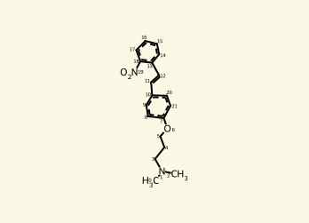 CN(C)CCCOc1ccc(C=Cc2ccccc2[N+](=O)[O-])cc1